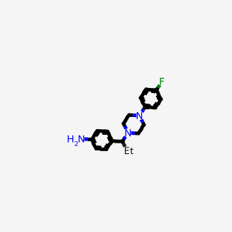 CCC(c1ccc(N)cc1)N1CCN(c2ccc(F)cc2)CC1